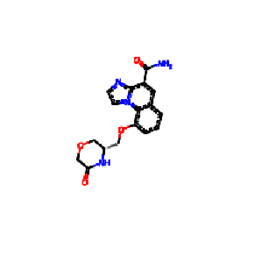 NC(=O)c1cc2cccc(OC[C@H]3COCC(=O)N3)c2n2ccnc12